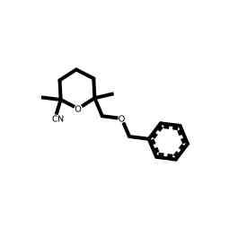 CC1(C#N)CCCC(C)(COCc2ccccc2)O1